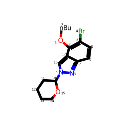 CCCCOc1c(Br)ccc2nn(C3CCCCO3)cc12